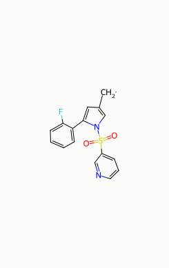 [CH2]c1cc(-c2ccccc2F)n(S(=O)(=O)c2cccnc2)c1